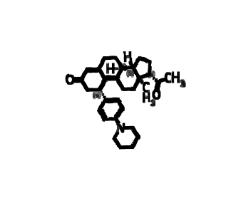 CC(=O)[C@H]1CC[C@H]2[C@@H]3CCC4=CC(=O)C[C@@H](c5ccc(N6CCCCC6)cc5)C4=C3CC[C@]12C